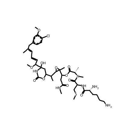 CNC(=O)CC(OC(=O)[C@H](C)N(C)C(=O)C(CSC)NC(=O)[C@H](N)CCCCN)C1(C)OC1C(C)C1CC(O)(C(/C=C/C=C(\C)Cc2ccc(Cl)c(OC)c2)OC)NC(=O)O1